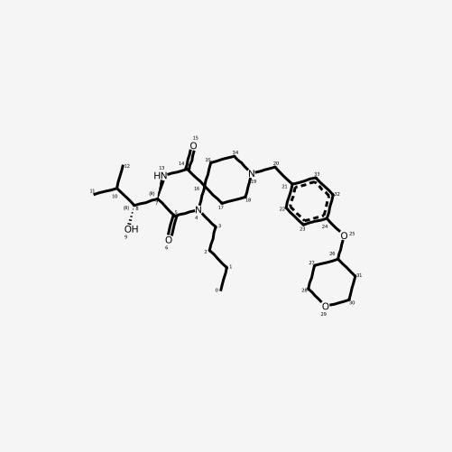 CCCCN1C(=O)[C@@H]([C@H](O)C(C)C)NC(=O)C12CCN(Cc1ccc(OC3CCOCC3)cc1)CC2